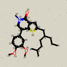 CCCC(CCC(C)C)Cc1cc2c(=O)n(C)cc(-c3ccc(OC)c(OC)c3)c2s1